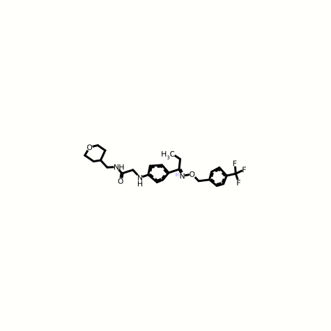 CC/C(=N\OCc1ccc(C(F)(F)F)cc1)c1ccc(NCC(=O)NCC2CCOCC2)cc1